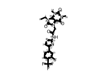 CCn1c(=O)n(CC(=O)Nc2nc(-c3ccc(C(F)(F)F)c(F)c3)cs2)c2c(=O)n(C)c(=O)n(C)c21